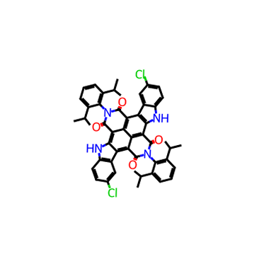 CC(C)c1cccc(C(C)C)c1N1C(=O)c2c3[nH]c4ccc(Cl)cc4c3c3c4c(c5[nH]c6ccc(Cl)cc6c5c(c24)C1=O)C(=O)N(c1c(C(C)C)cccc1C(C)C)C3=O